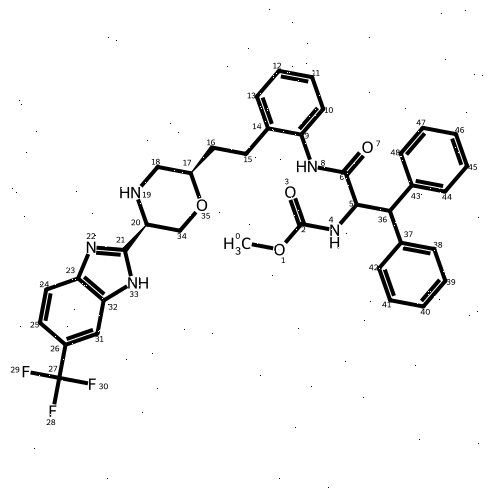 COC(=O)NC(C(=O)Nc1ccccc1CC[C@@H]1CN[C@H](c2nc3ccc(C(F)(F)F)cc3[nH]2)CO1)C(c1ccccc1)c1ccccc1